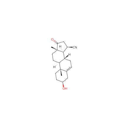 C[C@]12CC[C@H](O)CC1=CC[C@H]1[C@@H]3[C@H](C#N)CC(=O)[C@@]3(C)CC[C@@H]12